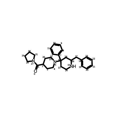 O=C(C1CCN(C2(c3ccccc3)CCNC(Cc3ccccc3)C2)CC1)N1CCCC1